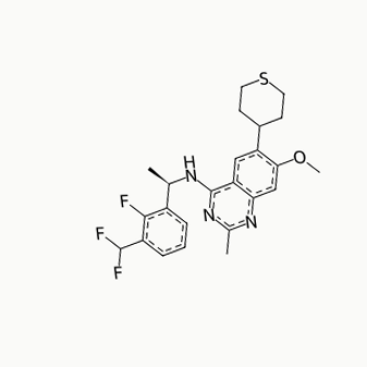 COc1cc2nc(C)nc(N[C@H](C)c3cccc(C(F)F)c3F)c2cc1C1CCSCC1